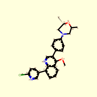 COc1c(-c2ccc(N3CC(C)O[C@@H](C)C3)cc2)cnc2c(-c3ccc(Cl)nc3)cccc12